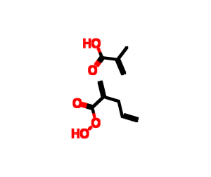 C=C(C)C(=O)O.C=CCC(=C)C(=O)OO